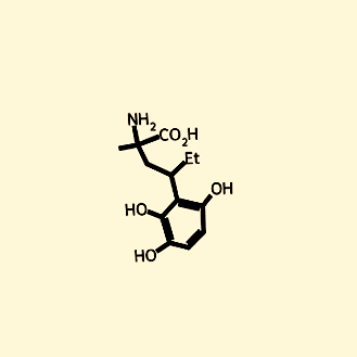 CCC(CC(C)(N)C(=O)O)c1c(O)ccc(O)c1O